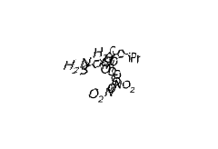 CC(C)Cc1ccc(C(C)C(=O)OC(COC(=O)CC(CO[N+](=O)[O-])O[N+](=O)[O-])C(=O)Oc2ccc(C(N)=S)cc2)cc1